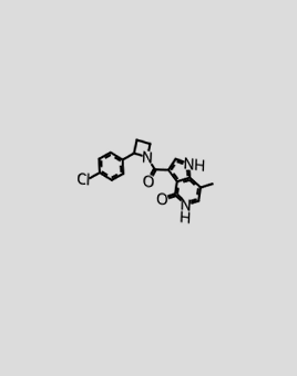 Cc1c[nH]c(=O)c2c(C(=O)N3CCC3c3ccc(Cl)cc3)c[nH]c12